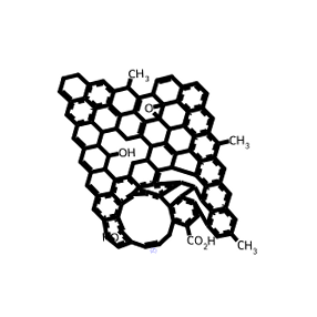 Cc1cc2c3c4c5c6c7c8c9c%10c%11c%12c(ccc%11cc9c(C)c7cc5cc3c1)C=CC1C3=C5C7=C9CC%11C5=c5c(cc%13c%14c(cc%15c(c5%14)C%11C5C(=C%15)C=C%11C=c%14cc%15ccc%16c(O)c%15c%15c%14c(c%14c%17c(c%18c(cc%17%15)-c%15c(c(C(=O)O)cc-2c%15C%184)C/C=C\%16)=C2C6C8=C(C9C2C%14)C%10C72OC%1212)C%11C5O)=CCC%13)C3C